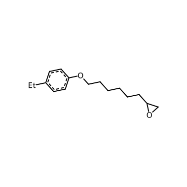 CCc1ccc(OCCCCCCC2CO2)cc1